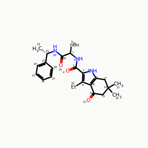 CCCCC(NC(=O)c1[nH]c2c(c1CC)C(=O)CC(C)(C)C2)C(=O)N[C@@H](C)c1ccccc1